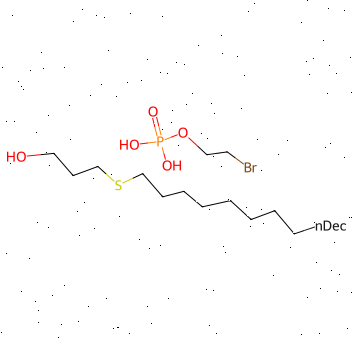 CCCCCCCCCCCCCCCCCCSCCCO.O=P(O)(O)OCCBr